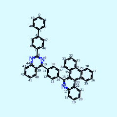 c1ccc(-c2ccc(-c3nc(-c4ccc(-c5nc6ccccc6c6c7ccccc7c7ccccc7c56)cc4)c4ccccc4n3)cc2)cc1